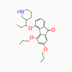 CCCOc1cc(OCCC)c2c(c1)C(=O)c1cccc(OC(CC)C3CCCNC3)c1-2